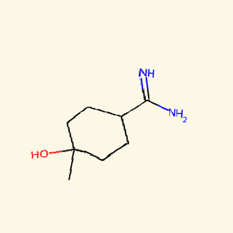 CC1(O)CCC(C(=N)N)CC1